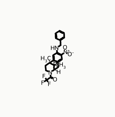 C[C@@H]1[C@H]2Cc3cc([N+](=O)[O-])c(NCc4ccccc4)cc3[C@]1(C)CCN2C(=O)C(F)(F)F